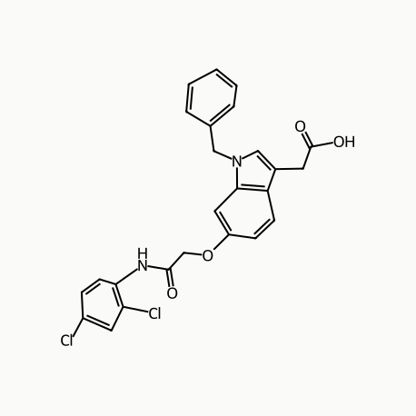 O=C(O)Cc1cn(Cc2ccccc2)c2cc(OCC(=O)Nc3ccc(Cl)cc3Cl)ccc12